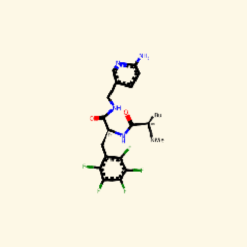 CCC(C)[C@@H](NC)C(=O)N[C@@H](Cc1c(F)c(F)c(F)c(F)c1F)C(=O)NCc1ccc(N)nc1